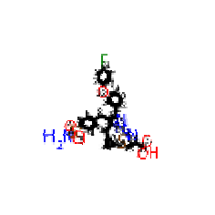 NS(=O)(=O)c1ccc(Cc2c(-c3cccc(Oc4ccc(F)cc4)c3)nn(-c3nc(C(=O)O)cs3)c2CC2CC2)cc1